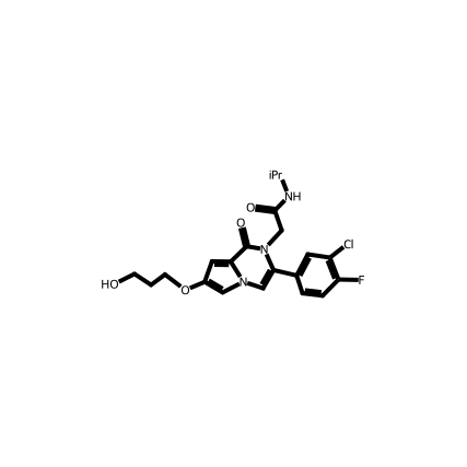 CC(C)NC(=O)Cn1c(-c2ccc(F)c(Cl)c2)cn2cc(OCCCO)cc2c1=O